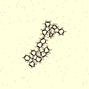 c1ccc(C2(c3ccccc3)c3ccccc3-c3c(N(c4ccc5cc(-c6ccc7c(c6)C6(c8ccccc8-7)c7ccccc7-n7c8ccccc8c8cccc6c87)ccc5c4)c4cccc5ccccc45)cccc32)cc1